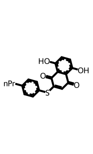 CCCc1ccc(SC2=CC(=O)c3c(O)ccc(O)c3C2=O)cc1